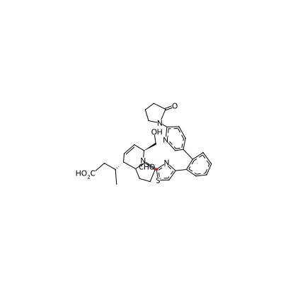 CC(CC(=O)O)[C@H](/C=C\[C@@H](CO)N(C=O)c1nc(-c2ccccc2-c2ccc(N3CCCC3=O)nc2)cs1)C1CCCC1